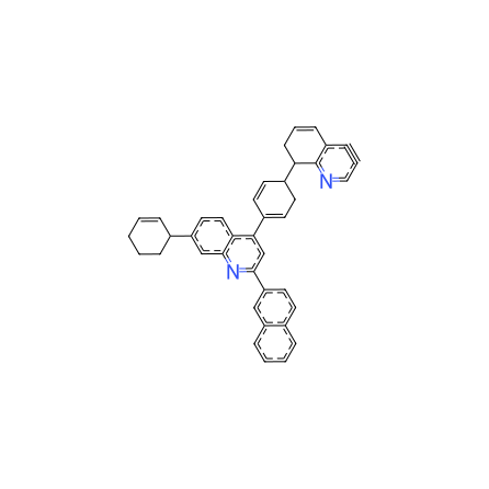 c1cnc2c(c#1)C=CCC2C1C=CC(c2cc(-c3ccc4ccccc4c3)nc3cc(C4C=CCCC4)ccc23)=CC1